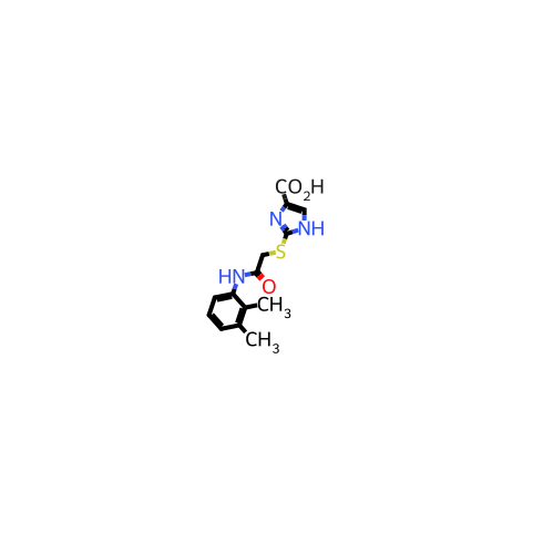 Cc1cccc(NC(=O)CSc2nc(C(=O)O)c[nH]2)c1C